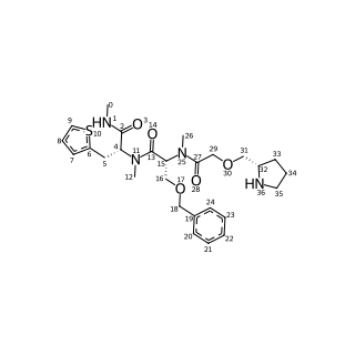 CNC(=O)[C@@H](Cc1cccs1)N(C)C(=O)[C@@H](COCc1ccccc1)N(C)C(=O)COC[C@@H]1CCCN1